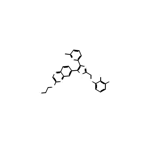 Cc1cccc(-c2nc(CNc3cccc(F)c3F)[nH]c2-c2ccc3ncc(OCCN)nc3c2)n1